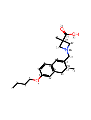 CCCCOc1ccc2c(c1)C[C@H](C)C(CN1CC(C)(C(=O)O)C1)=C2